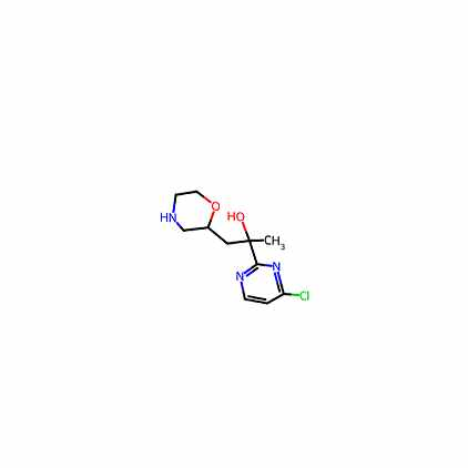 CC(O)(CC1CNCCO1)c1nccc(Cl)n1